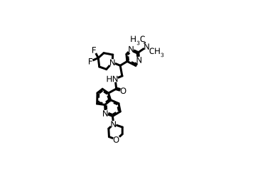 CN(C)c1ncc(C(CNC(=O)c2cccc3nc(N4CCOCC4)ccc23)N2CCC(F)(F)CC2)cn1